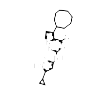 Nc1nc(Nc2cc(C3CC3)[nH]n2)nn2ccc(C3CCCCCCC3)c12